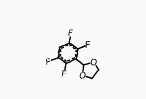 Fc1cc(F)c(F)c(C2OCCO2)c1F